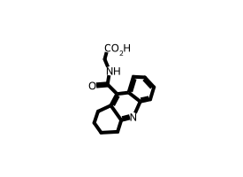 O=C(O)CNC(=O)c1c2c(nc3ccccc13)CCCC2